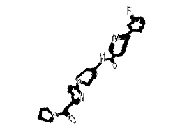 O=C(NC1CCN(c2ccc(C(=O)N3CCCC3)cn2)CC1)c1ccc(-c2cccc(F)c2)nc1